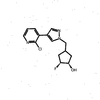 O[C@@H]1CC(Cn2cc(-c3cccnc3Cl)cn2)C[C@@H]1F